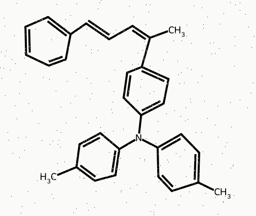 CC(=CC=Cc1ccccc1)c1ccc(N(c2ccc(C)cc2)c2ccc(C)cc2)cc1